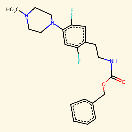 O=C(NCCc1cc(F)c(N2CCN(C(=O)O)CC2)cc1F)OCc1ccccc1